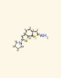 Nc1cc2ccc3cc(N4CCCC4)sc3c2s1